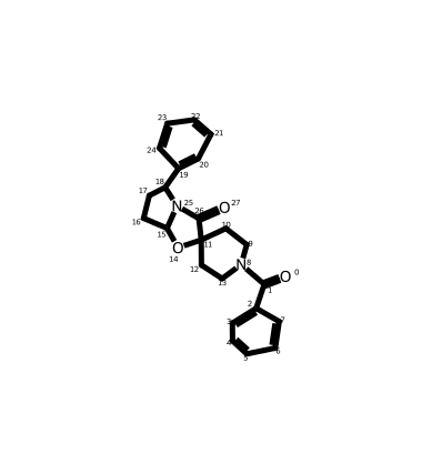 O=C(c1ccccc1)N1CCC2(CC1)OC1CCC(c3ccccc3)N1C2=O